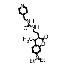 CCN(CC)c1ccc2c(c1)OC(=O)C(CCNC(=O)NCc1ccncc1)C2C